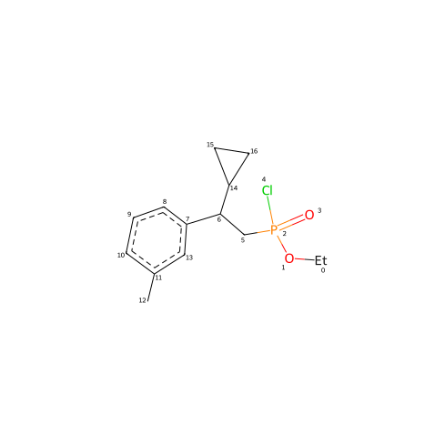 CCOP(=O)(Cl)CC(c1cccc(C)c1)C1CC1